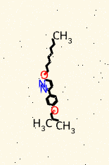 CCCCCCCCCOc1ccc(-c2ccc(OCC(C)CC)cc2)nn1